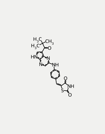 CC(C)(C)C(=O)c1c[nH]c2ncc(Nc3ccc(/C=C4/SC(=O)NC4=O)cc3)nc12